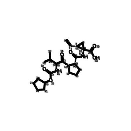 C=C[C@@H]1C[C@]1(NC(=O)[C@@H]1CCCN1C(=O)[C@@H](NC(=O)OC1CCCC1)C(C)C)C(=O)O